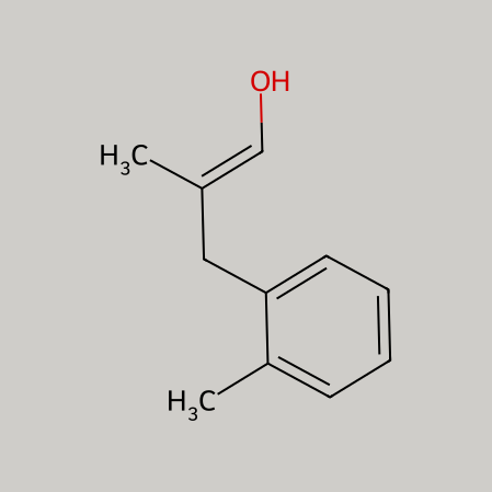 CC(=CO)Cc1ccccc1C